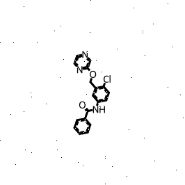 O=C(Nc1ccc(Cl)c(COc2cnccn2)c1)c1ccccc1